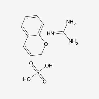 C1=Cc2ccccc2OC1.N=C(N)N.O=S(=O)(O)O